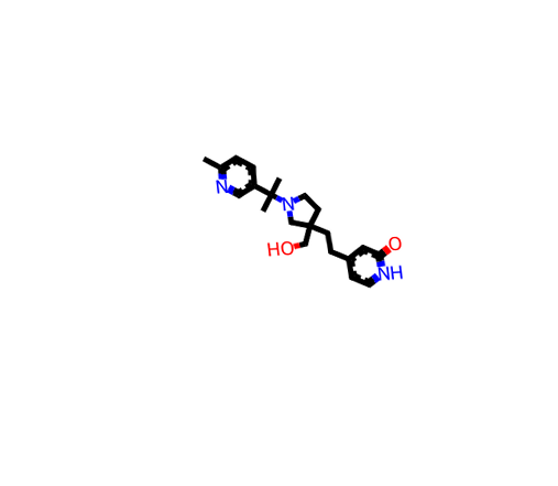 Cc1ccc(C(C)(C)N2CCC(CO)(CCc3cc[nH]c(=O)c3)C2)cn1